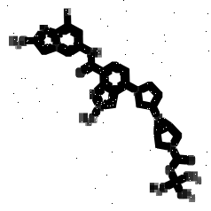 Cc1cn2cc(NC(=O)c3ccc(N4CCC(N5C6CN(C(=O)OC(C)(C)C)CC65)C4)c4cn(C)nc34)cc(F)c2n1